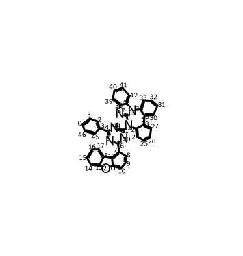 c1ccc(-c2nc(-c3cccc4oc5ccccc5c34)nc(N3c4ccccc4-c4ccccc4-n4c3nc3ccccc34)n2)cc1